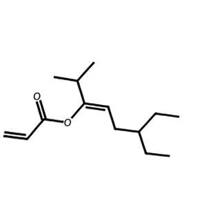 C=CC(=O)O/C(=C\CC(CC)CC)C(C)C